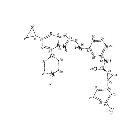 CN1CCN(c2cc(C3CC3)cc3cc(CNc4cc(NC(=O)[C@H]5C[C@@H]5c5cccc(Cl)c5)ncn4)nn23)CC1